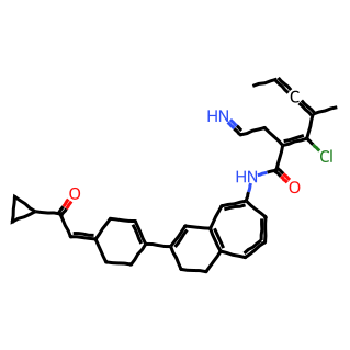 CC=C=C(C)/C(Cl)=C(\CC=N)C(=O)NC1=CC2=C(C=C=C1)CCC(C1=CC/C(=C\C(=O)C3CC3)CC1)=C2